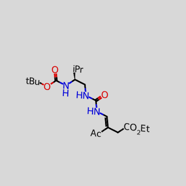 CCOC(=O)CC(=CNC(=O)NC[C@@H](NC(=O)OC(C)(C)C)C(C)C)C(C)=O